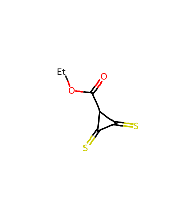 CCOC(=O)C1C(=S)C1=S